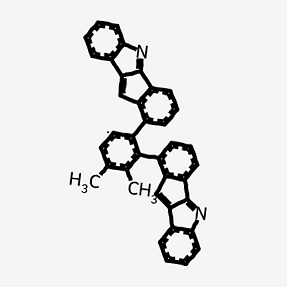 Cc1c[c]c(-c2cccc3c2C=C2C3=Nc3ccccc32)c(-c2cccc3c2C=C2C3=Nc3ccccc32)c1C